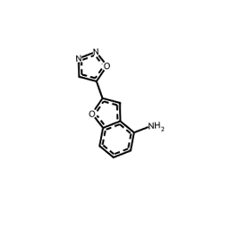 Nc1cccc2oc(-c3cnno3)cc12